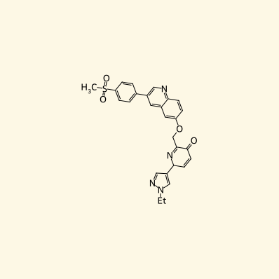 CCn1cc(C2C=CC(=O)C(COc3ccc4ncc(-c5ccc(S(C)(=O)=O)cc5)cc4c3)=N2)cn1